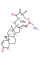 C=C(C(=O)[C@H](OC(C)=O)[C@@H](C)[C@H]1[C@@H](OC(C)=O)C[C@@]2(C)C3CCC4[C@H](C)C(=O)C=C[C@@]45C[C@@]35CC[C@]12C)[C@@H](C)COC(=O)CN